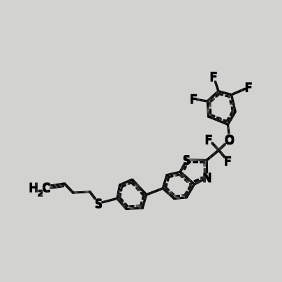 C=CCCSc1ccc(-c2ccc3nc(C(F)(F)Oc4cc(F)c(F)c(F)c4)sc3c2)cc1